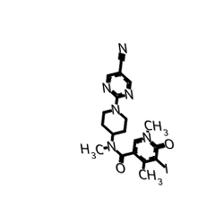 Cc1c(C(=O)N(C)C2CCN(c3ncc(C#N)cn3)CC2)cn(C)c(=O)c1I